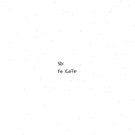 [Fe].[Ge].[Sb].[Te]